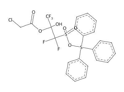 O=C(CCl)OC(O)(C(F)(F)F)C(F)(F)S(=O)(=O)OS(c1ccccc1)(c1ccccc1)c1ccccc1